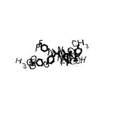 CCC1CC2CC(C1)C(NC(=O)c1cnc(-c3cn(C4CCC(F)(F)CC4)c4cc(OC5CCC(S(C)(=O)=O)CC5)ccc34)nc1C(F)(F)F)(C(=O)O)C2